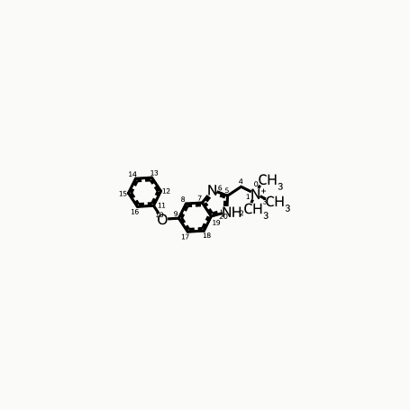 C[N+](C)(C)Cc1nc2cc(Oc3ccccc3)ccc2[nH]1